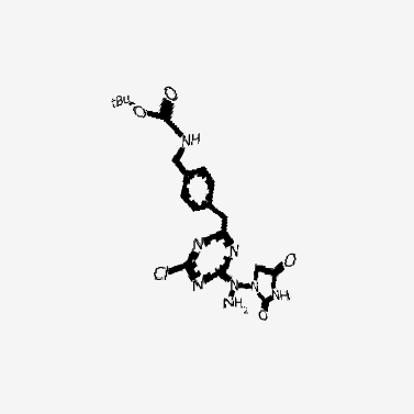 CC(C)(C)OC(=O)NCc1ccc(Cc2nc(Cl)nc(N(N)N3CC(=O)NC3=O)n2)cc1